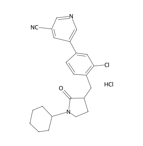 Cl.N#Cc1cncc(-c2ccc(CC3CCN(C4CCCCC4)C3=O)c(Cl)c2)c1